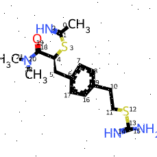 CC(=N)S[C@@H](Cc1ccc(CCSC(=N)N)cc1)C(=O)N(C)C